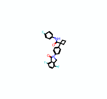 O=C1c2c(F)ccc(F)c2CN1c1ccc(C2(C(=O)Nc3ccc(F)cc3)CCC2)cc1